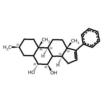 C[C@H]1CC[C@@]2(C)C(C1)[C@@H](O)[C@H](O)C1[C@@H]2CC[C@]2(C)C(c3ccccc3)=CC[C@@H]12